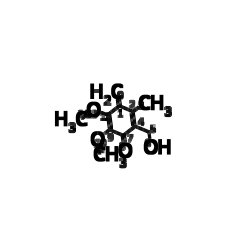 C=C1C(C)=C(CO)C(=O)C(OC)=C1OC